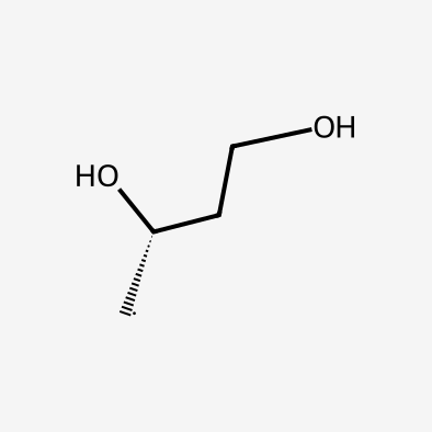 [CH2][C@H](O)CCO